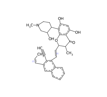 C#Cc1c(/C=C\C)cc2ccccc2c1/C=C/C1Oc2c(c(O)cc(O)c2C2CCN(C)CC2O)C(=O)C1C